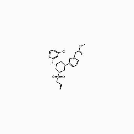 C=CCS(=O)(=O)N1CCCC(c2cccc(CC(=O)OC)c2)C1.Fc1cccc(Cl)c1